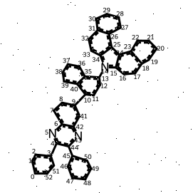 c1ccc(-c2nc3ccc(-c4ccc(-n5c6ccc7ccccc7c6c6c7ccccc7ccc65)c5ccccc45)cc3nc2-c2ccccc2)cc1